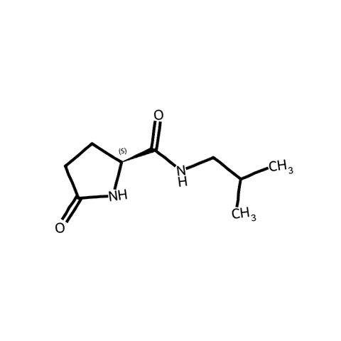 CC(C)CNC(=O)[C@@H]1CCC(=O)N1